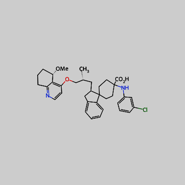 CO[C@H]1CCCc2nccc(OC[C@H](C)CC3Cc4ccccc4C34CCC(Nc3cccc(Cl)c3)(C(=O)O)CC4)c21